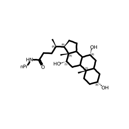 CCCNC(=O)CC[C@@H](C)[C@H]1CCC2C3C(C[C@H](O)[C@@]21C)[C@@]1(C)CC[C@@H](O)CC1C[C@H]3O